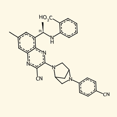 Cc1cc([C@@H](C)Nc2ccccc2C(=O)O)c2nc(N3CC4CC3CN4c3ccc(C#N)cc3)c(C#N)nc2c1